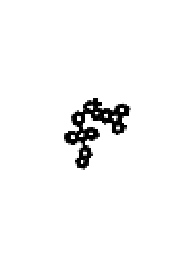 CC1(C)C=CC(c2cccc(-c3c4ccccc4c(-c4ccc5ccccc5c4)c4ccccc34)c2)=C2C=c3cc4c5ccccc5c5ccccc5c4cc3=C21